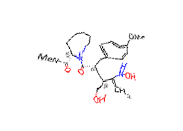 C=C(NO)[C@@H](CO)[C@H](C(=O)N1CCCC[C@H]1C(=O)NC)c1ccc(OC)cc1